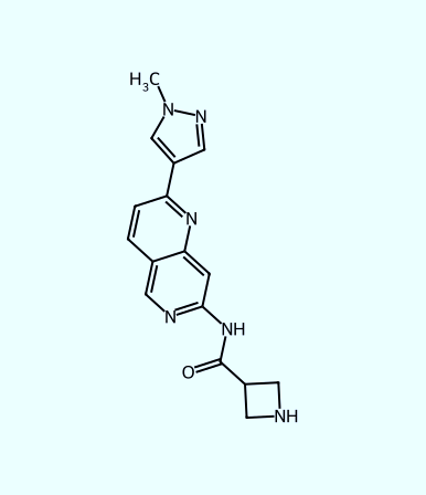 Cn1cc(-c2ccc3cnc(NC(=O)C4CNC4)cc3n2)cn1